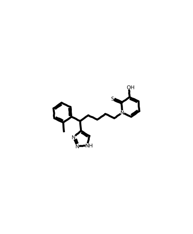 Cc1ccccc1C(CCCCn1cccc(O)c1=S)c1c[nH]nn1